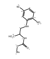 CC(C)(C)OC(=O)NC(CNc1cc(C#N)ccc1[N+](=O)[O-])C(=O)O